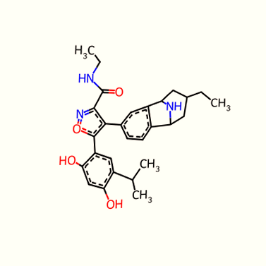 CCNC(=O)c1noc(-c2cc(C(C)C)c(O)cc2O)c1-c1ccc2c(c1)C1CC(CC)CC2N1